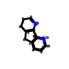 C1=NC2=C(CC1)Cc1cccnc12